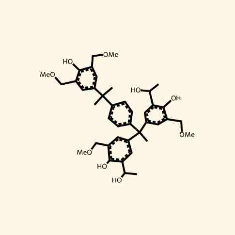 COCc1cc(C(C)(C)c2ccc(C(C)(c3cc(COC)c(O)c(C(C)O)c3)c3cc(COC)c(O)c(C(C)O)c3)cc2)cc(COC)c1O